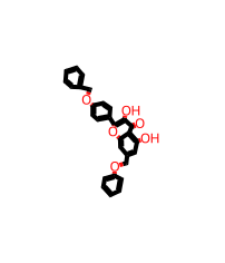 O=c1c(O)c(-c2ccc(OCc3ccccc3)cc2)oc2cc(COc3ccccc3)cc(O)c12